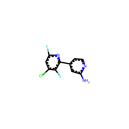 Nc1cc(-c2nc(F)cc(Cl)c2F)ccn1